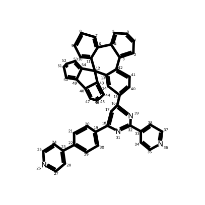 c1ccc2c(c1)-c1ccccc1C1(c3cc(-c4cc(-c5ccc(-c6ccncc6)cc5)nc(-c5ccncc5)n4)ccc3-2)c2ccccc2-c2ccccc21